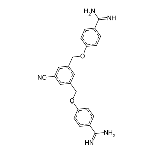 N#Cc1cc(COc2ccc(C(=N)N)cc2)cc(COc2ccc(C(=N)N)cc2)c1